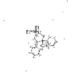 CC1(c2ccccc2)CCCCC1c1ccccc1.CCNCC